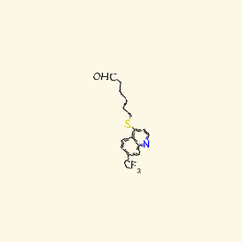 O=CCCCCCSc1ccnc2cc(C(F)(F)F)ccc12